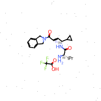 CC(C)[C@H](N)C(=O)N[C@H](/C=C/C(=O)N1Cc2ccccc2C1)C1CC1.O=C(O)C(F)(F)F